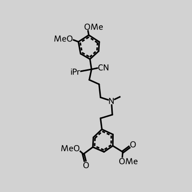 COC(=O)c1cc(CCN(C)CCCC(C#N)(c2ccc(OC)c(OC)c2)C(C)C)cc(C(=O)OC)c1